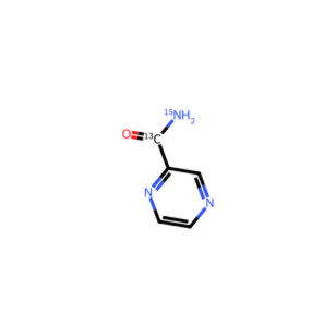 [15NH2][13C](=O)c1cnccn1